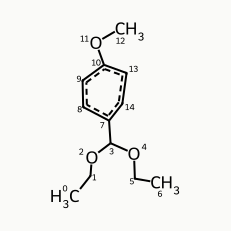 CCOC(OCC)c1ccc(OC)cc1